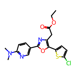 CCOC(=O)Cc1nc(-c2ccc(N(C)C)nc2)oc1-c1ccc(Cl)s1